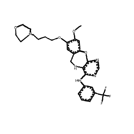 COc1cc2c(cc1OCCCN1CCOCC1)CNc1c(Nc3cccc(C(F)(F)F)c3)ncnc1O2